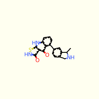 CC1NCc2ccc(-c3cccc4[nH]c5s[nH]c(=O)c5c(=O)c34)cc21